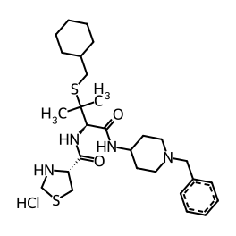 CC(C)(SCC1CCCCC1)[C@H](NC(=O)[C@@H]1CSCN1)C(=O)NC1CCN(Cc2ccccc2)CC1.Cl